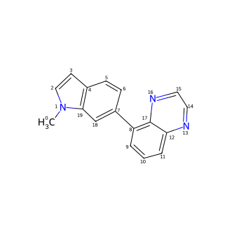 Cn1ccc2ccc(-c3cccc4nccnc34)cc21